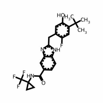 CC(C)(C)c1cc(F)c(Cc2nc3cc(C(=O)NC4(C(F)(F)F)CC4)ccc3[nH]2)cc1O